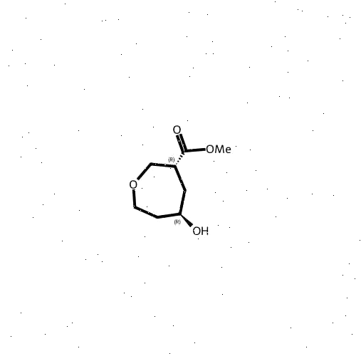 COC(=O)[C@H]1COCC[C@H](O)C1